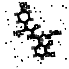 CCCCOC[C@H](NC(=O)N(C)C1CCN(C)CC1)c1cccc(Cl)c1Cl